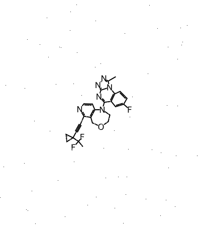 Cc1nnc2nc(N3CCOCc4c3ccnc4C#CC3(C(C)(F)F)CC3)c3cc(F)ccc3n12